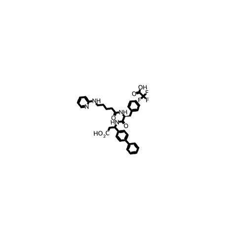 O=C(O)C(F)(F)F.O=C(O)CC(NC(=O)[C@H](Cc1ccccc1)NC(=O)CCCCNc1ccccn1)c1ccc(-c2ccccc2)cc1